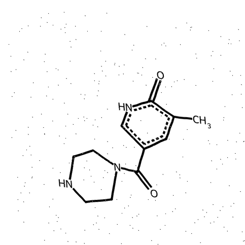 Cc1cc(C(=O)N2CCNCC2)c[nH]c1=O